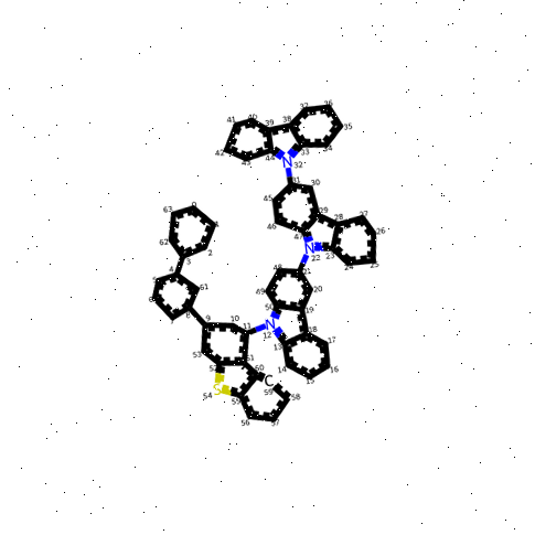 c1ccc(-c2cccc(-c3cc(-n4c5ccccc5c5cc(-n6c7ccccc7c7cc(-n8c9ccccc9c9ccccc98)ccc76)ccc54)c4c(c3)sc3ccccc34)c2)cc1